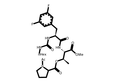 CCCCCCNC(=O)N[C@@H](Cc1cc(F)cc(F)c1)C(=O)N[C@H](C(=O)OC)[C@@H](C)OC(=O)C1CCCN1C(C)=O